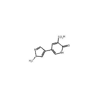 Cn1cc(-c2c[nH]c(=O)c(C(=O)O)c2)cn1